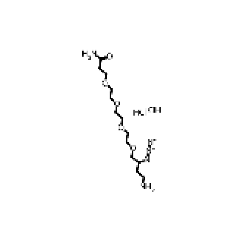 Cl.Cl.[N-]=[N+]=NC(CCN)COCCOCCOCCOCCC(N)=O